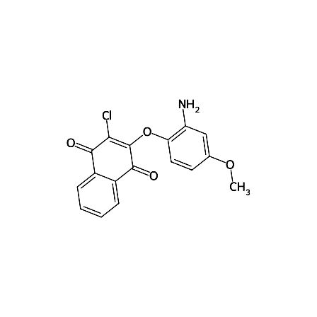 COc1ccc(OC2=C(Cl)C(=O)c3ccccc3C2=O)c(N)c1